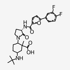 CC(C)(C)NC1CCC(N2CC[C@H](NC(=O)c3ccc(-c4ccc(F)c(F)c4)o3)C2=O)C(C)(C(=O)O)C1